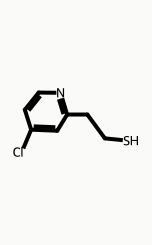 SCCc1cc(Cl)ccn1